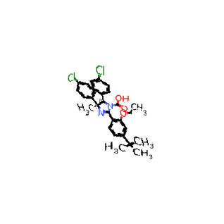 CCOc1cc(C(C)(C)C)ccc1C1=N[C@@](C)(c2ccc(Cl)cc2)[C@@H](c2ccc(Cl)cc2)N1C(=O)O